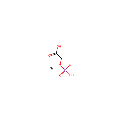 O=C(O)COP(=O)([O-])O.[Na+]